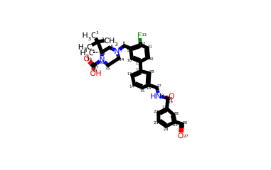 CC(C)(C)[C@@]1(C)CN(Cc2cc(-c3cccc(CNC(=O)c4cccc(C=O)c4)c3)ccc2F)CCN1C(=O)O